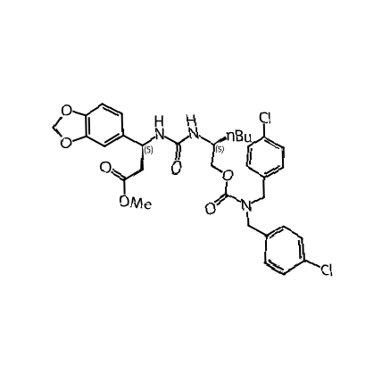 CCCC[C@@H](COC(=O)N(Cc1ccc(Cl)cc1)Cc1ccc(Cl)cc1)NC(=O)N[C@@H](CC(=O)OC)c1ccc2c(c1)OCO2